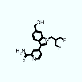 NC(=S)c1cc(-c2cn(CC(CF)CF)c3cc(CO)ccc23)ccn1